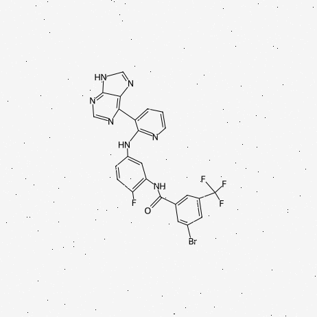 O=C(Nc1cc(Nc2ncccc2-c2ncnc3[nH]cnc23)ccc1F)c1cc(Br)cc(C(F)(F)F)c1